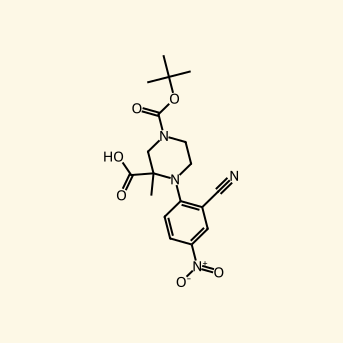 CC(C)(C)OC(=O)N1CCN(c2ccc([N+](=O)[O-])cc2C#N)C(C)(C(=O)O)C1